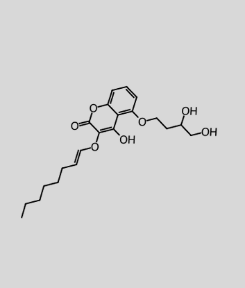 CCCCCCC=COc1c(O)c2c(OCCC(O)CO)cccc2oc1=O